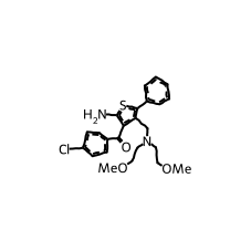 COCCN(CCOC)Cc1c(-c2ccccc2)sc(N)c1C(=O)c1ccc(Cl)cc1